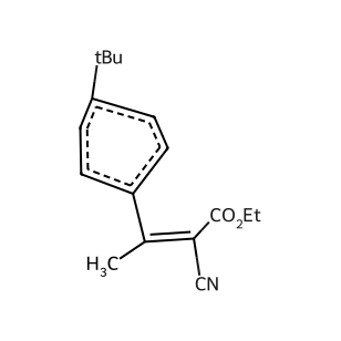 CCOC(=O)/C(C#N)=C(/C)c1ccc(C(C)(C)C)cc1